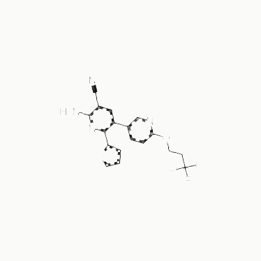 N#Cc1cc(-c2ccc(OCCC(F)(F)F)nc2)c(-c2ccco2)nc1N